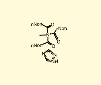 CCCCCCCCCC(=O)[N+](C)(C(=O)CCCCCCCCC)C(=O)CCCCCCCCC.c1nc[nH]n1